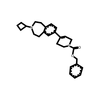 O=C(OCc1ccccc1)N1CC=C(c2ccc3c(c2)CCN(C2CCC2)CC3)CC1